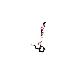 C=CCOCCOCCOc1ccccc1CC=C